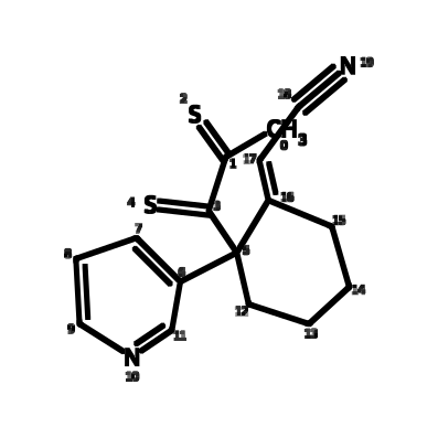 CC(=S)C(=S)C1(c2cccnc2)CCCCC1=CC#N